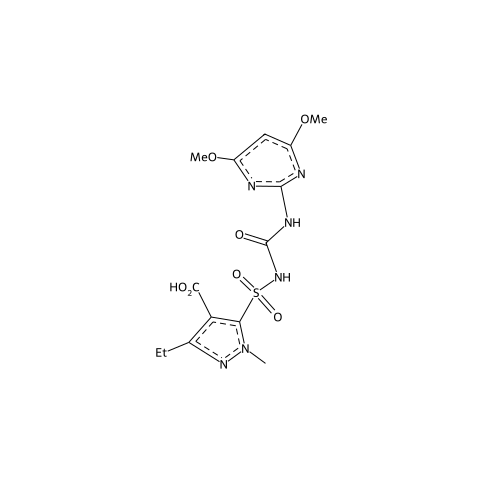 CCc1nn(C)c(S(=O)(=O)NC(=O)Nc2nc(OC)cc(OC)n2)c1C(=O)O